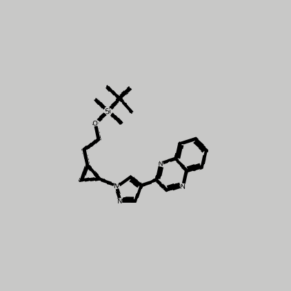 CC(C)(C)[Si](C)(C)OCCC1CC1n1cc(-c2cnc3ccccc3n2)cn1